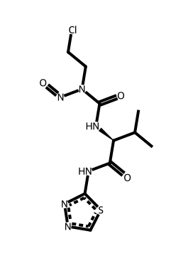 CC(C)[C@H](NC(=O)N(CCCl)N=O)C(=O)Nc1nncs1